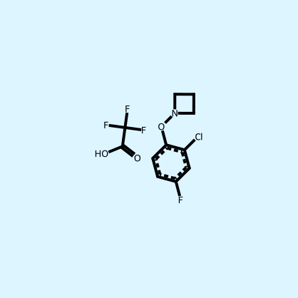 Fc1ccc(ON2CCC2)c(Cl)c1.O=C(O)C(F)(F)F